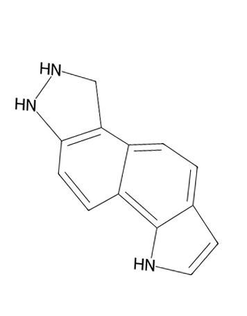 c1cc2ccc3c4c(ccc3c2[nH]1)NNC4